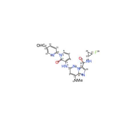 CNc1cc(Nc2cccn(-c3ccc(C=O)cn3)c2=O)nn2c(C(=O)N[C@@H]3C[C@@H]3F)cnc12